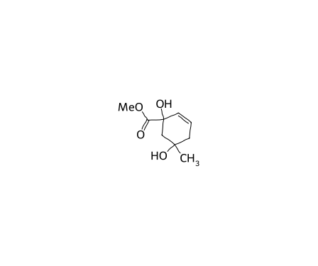 COC(=O)C1(O)C=CCC(C)(O)C1